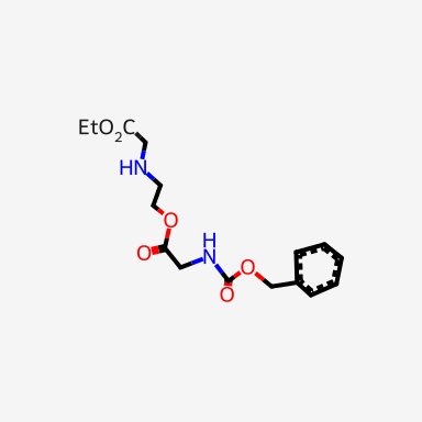 CCOC(=O)CNCCOC(=O)CNC(=O)OCc1ccccc1